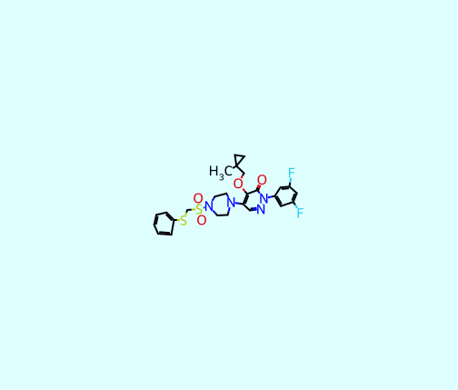 CC1(COc2c(N3CCN(S(=O)(=O)CSc4ccccc4)CC3)cnn(-c3cc(F)cc(F)c3)c2=O)CC1